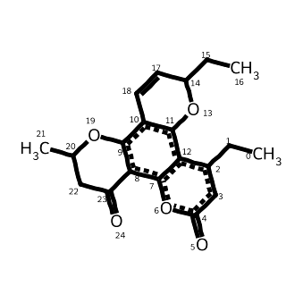 CCc1cc(=O)oc2c3c(c4c(c12)OC(CC)C=C4)OC(C)CC3=O